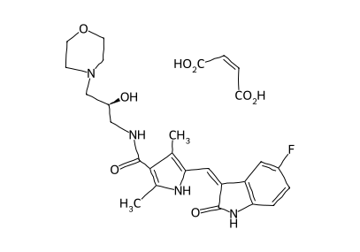 Cc1[nH]c(/C=C2\C(=O)Nc3ccc(F)cc32)c(C)c1C(=O)NC[C@H](O)CN1CCOCC1.O=C(O)/C=C\C(=O)O